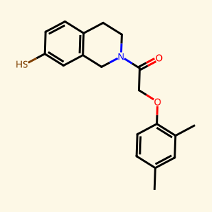 Cc1ccc(OCC(=O)N2CCc3ccc(S)cc3C2)c(C)c1